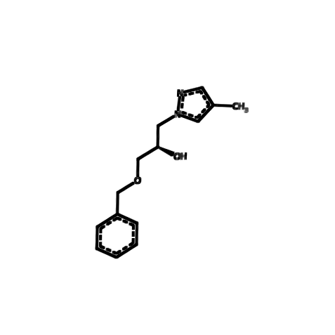 Cc1cnn(C[C@@H](O)COCc2ccccc2)c1